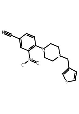 N#Cc1ccc(N2CCN(Cc3ccsc3)CC2)c([N+](=O)[O-])c1